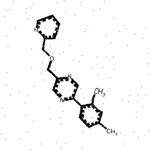 Cc1ccc(-c2cnc(COCc3ccccn3)cn2)c(C)c1